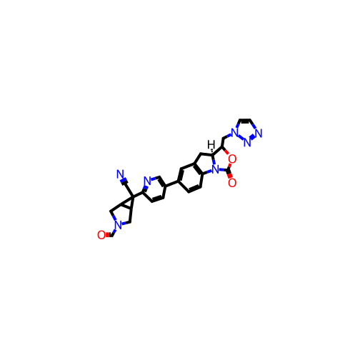 N#CC1(c2ccc(-c3ccc4c(c3)C[C@H]3C(Cn5ccnn5)OC(=O)N43)cn2)C2CN(C=O)CC21